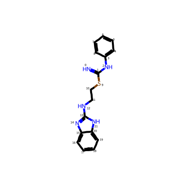 N=C(Nc1ccccc1)SCCNc1nc2ccccc2[nH]1